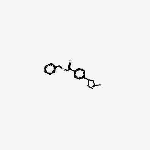 O=C(OCc1ccccc1)c1ccc(C2CC(Br)=NO2)cc1